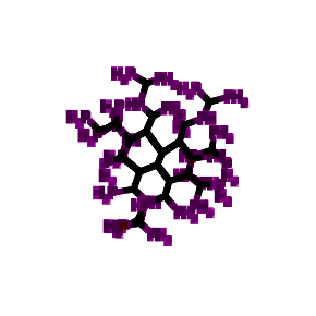 PCPC(P)C(C(P)PC(P)P)C(C(C(P)PC(P)P)C(P)PC(P)P)C(C(C(P)PCP)C(P)PC(P)P)C(C(P)PC(P)P)C(P)PC(P)P